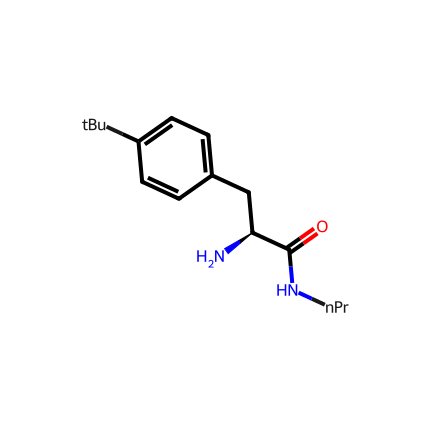 CCCNC(=O)[C@@H](N)Cc1ccc(C(C)(C)C)cc1